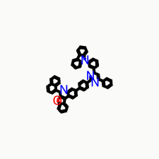 c1ccc(-c2cc(-c3cccc(-n4c5ccccc5c5ccccc54)c3)nc(-c3ccc(-c4ccc5c(c4)nc(-c4cccc6ccccc46)c4oc6ccccc6c45)cc3)n2)cc1